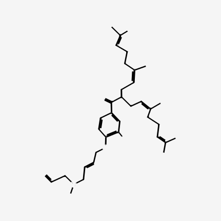 C=CCN(C)CC=CCOc1ccc(C(=O)C(CC=C(C)CCC=C(C)C)CC=C(C)CCC=C(C)C)cc1F